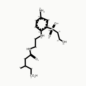 CC(CC(=O)O)CC(=O)NCCNc1ccc(N)cc1S(=O)(=O)CCO